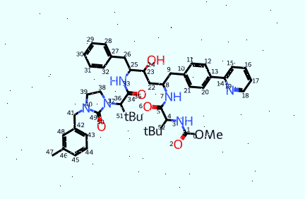 COC(=O)NC(C(=O)NC(Cc1ccc(-c2ccccn2)cc1)CC(O)C(Cc1ccccc1)NC(=O)C(N1CCN(Cc2cccc(C)c2)C1=O)C(C)(C)C)C(C)(C)C